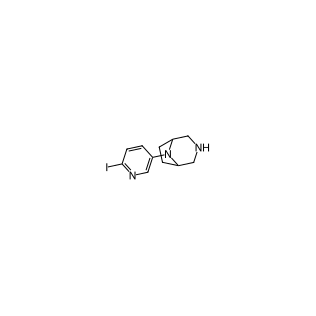 Ic1ccc(N2C3CCC2CNC3)cn1